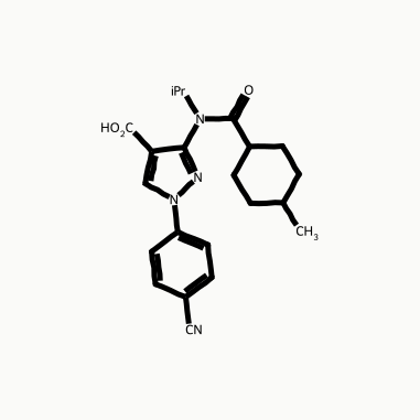 CC1CCC(C(=O)N(c2nn(-c3ccc(C#N)cc3)cc2C(=O)O)C(C)C)CC1